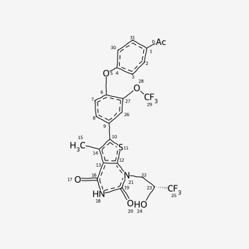 CC(=O)c1ccc(Oc2ccc(-c3sc4c(c3C)c(=O)[nH]c(=O)n4C[C@@H](O)C(F)(F)F)cc2OC(F)(F)F)cc1